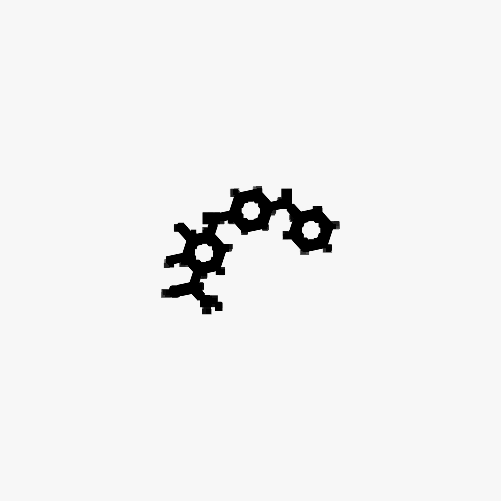 Cc1c(Nc2ccc(Nc3ccccc3)cc2)ccc(C(N)=O)c1C